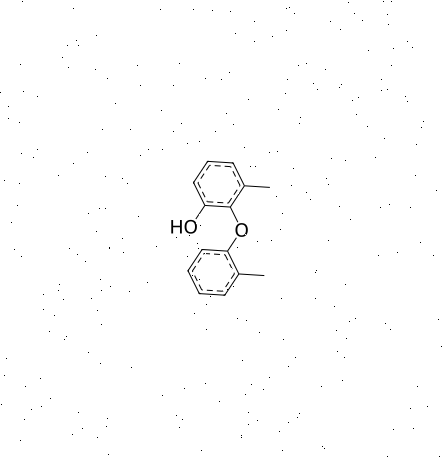 Cc1ccccc1Oc1c(C)cccc1O